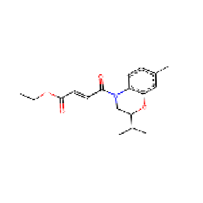 CCOC(=O)C=CC(=O)N1CC(C(C)C)Oc2cc(C)ccc21